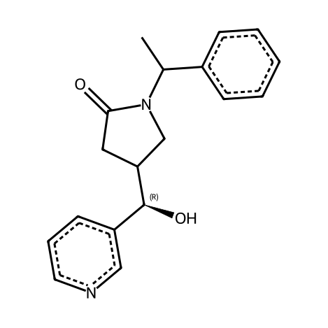 CC(c1ccccc1)N1CC([C@@H](O)c2cccnc2)CC1=O